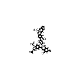 CS(=O)(=O)N(Cc1cccs1)c1ccc2c(c1)C(=O)N(CC(=O)OC(Cc1c(Cl)c[n+]([O-])cc1Cl)c1ccc(OC(F)F)c(OCC3CC3)c1)C2=O